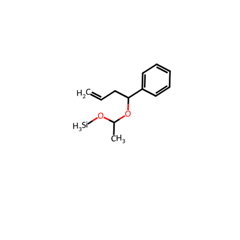 C=CCC(OC(C)O[SiH3])c1ccccc1